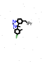 Cc1cc(F)ccc1C1(C)c2cc(CC(C)C)ccc2N=CN1C